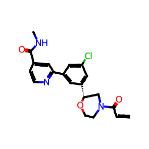 C=CC(=O)N1CCO[C@H](c2cc(Cl)cc(-c3cc(C(=O)NC)ccn3)c2)C1